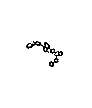 c1ccc(-c2cccc(-c3nc(-c4ccc5c(c4)Sc4ccc(-c6ccc7oc8ccccc8c7c6)c6cccc-5c46)nc4ccccc34)c2)cc1